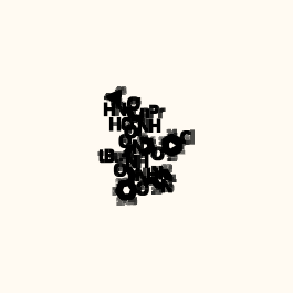 CCC[C@H](NC(=O)[C@@H]1C[C@@H](Oc2ccc(Cl)cc2)CN1C(=O)[C@@H](NC(=O)[C@@H](NC(=O)c1cnccn1)C1CCCCC1)C(C)(C)C)C(O)C(=O)NC1CC1